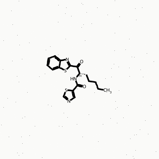 CCCCC[C@H](NC(=O)c1cncs1)C(=O)c1nc2ccccc2s1